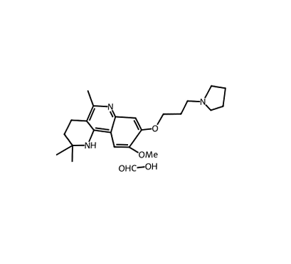 COc1cc2c3c(c(C)nc2cc1OCCCN1CCCC1)CCC(C)(C)N3.O=CO